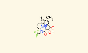 Cc1ccnc(C2(C)CCCC3N(CC(F)(F)F)C(=O)c4c(O)c(=O)ccn4N32)c1